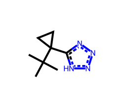 CC(C)(C)C1(c2nnn[nH]2)CC1